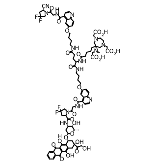 C[C@@H]1O[C@@H](O[C@H]2C[C@](O)(C(=O)CO)Cc3c(O)c4c(c(O)c32)C(=O)c2ccccc2C4=O)C[C@H](NC(=O)C2CC(F)(F)CN2C(=O)CNC(=O)c2ccnc3ccc(OCCCCNC(=O)C(CCC(=O)NCCCCOc4ccc5nccc(C(=O)NCC(=O)N6CC(F)(F)C[C@@H]6C#N)c5c4)NC(=O)CCCCC4(N(C)CC(=O)O)CN(CC(=O)O)CCN(CC(=O)O)C4)cc23)[C@@H]1O